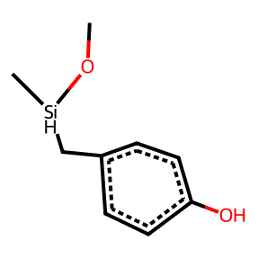 CO[SiH](C)Cc1ccc(O)cc1